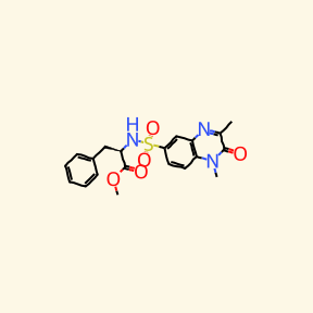 COC(=O)[C@@H](Cc1ccccc1)NS(=O)(=O)c1ccc2c(c1)nc(C)c(=O)n2C